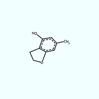 Cc1cc(O)c2c(c1)OCC2